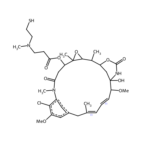 COc1cc2cc(c1Cl)N(C)C(=O)CC(OC(=O)CCN(C)CCS)C1(C)OC1C(C)C1CC(O)(NC(=O)O1)C(OC)/C=C/C=C(\C)C2